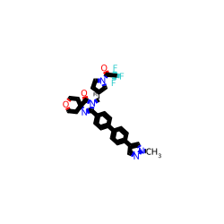 Cn1cc(-c2ccc(-c3ccc(C4=NC5(CCOCC5)C(=O)N4C[C@@H]4CCN(C(=O)C(F)(F)F)C4)cc3)cc2)cn1